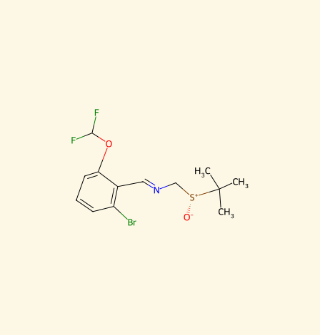 CC(C)(C)[S@+]([O-])C/N=C/c1c(Br)cccc1OC(F)F